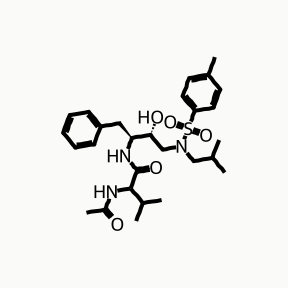 CC(=O)NC(C(=O)N[C@@H](Cc1ccccc1)[C@H](O)CN(CC(C)C)S(=O)(=O)c1ccc(C)cc1)C(C)C